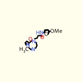 COc1ccc(NC(=O)CCCN2CCC/N=C\C(C)N3C=CCC3C2=O)cc1